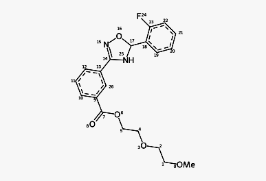 COCCOCCOC(=O)c1cccc(C2=NOC(c3ccccc3F)N2)c1